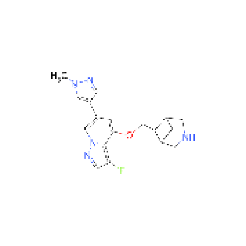 Cn1cc(-c2cc(OCC3C4CNCC3C4)c3c(F)cnn3c2)cn1